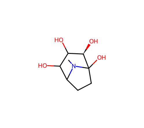 CN1C2CCC1(O)[C@H](O)C(O)C2O